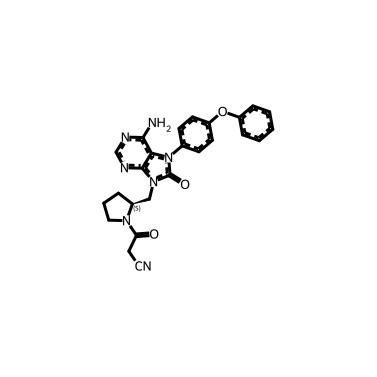 N#CCC(=O)N1CCC[C@H]1Cn1c(=O)n(-c2ccc(Oc3ccccc3)cc2)c2c(N)ncnc21